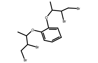 CC(Oc1ccccc1OC(C)C(Br)CBr)C(Br)CBr